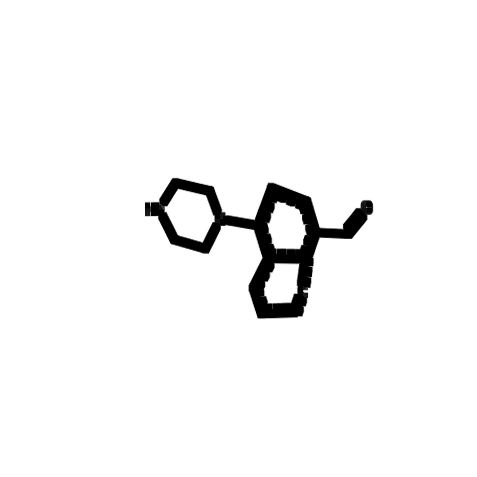 O=Cc1ccc(N2CCNCC2)c2ccccc12